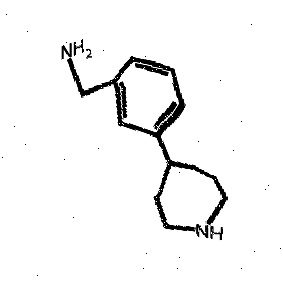 NCc1cccc(C2CCNCC2)c1